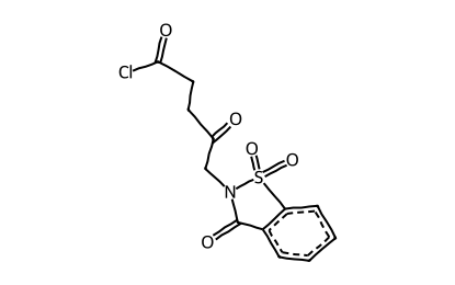 O=C(Cl)CCC(=O)CN1C(=O)c2ccccc2S1(=O)=O